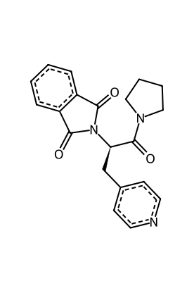 O=C([C@@H](Cc1ccncc1)N1C(=O)c2ccccc2C1=O)N1CCCC1